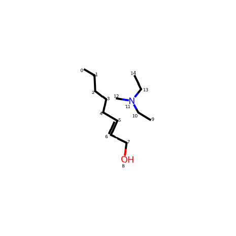 CCCCCC=CCO.CCN(C)CC